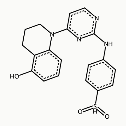 O=[SH](=O)c1ccc(Nc2nccc(N3CCCc4c(O)cccc43)n2)cc1